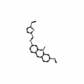 C=Cc1ccc(C=Nc2ccc3cc4ccc(N=C)cc4[n+](C)c3c2)s1